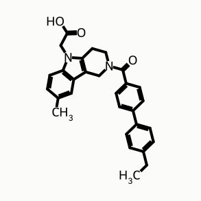 CCc1ccc(-c2ccc(C(=O)N3CCc4c(c5cc(C)ccc5n4CC(=O)O)C3)cc2)cc1